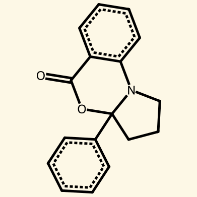 O=C1OC2(c3ccccc3)CCCN2c2ccccc21